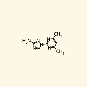 Cc1cc(C)nc(-n2cnc(N)n2)n1